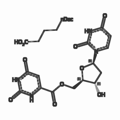 CCCCCCCCCCCCCC(=O)O.O=C(OC[C@H]1O[C@@H](n2ccc(=O)[nH]c2=O)C[C@@H]1O)c1cc(=O)[nH]c(=O)[nH]1